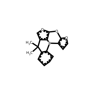 CC1(C)c2ccccc2B2c3ccoc3Oc3occ1c32